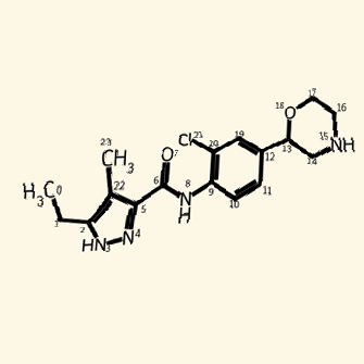 CCc1[nH]nc(C(=O)Nc2ccc(C3CNCCO3)cc2Cl)c1C